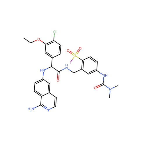 CCOc1cc(C(Nc2ccc3c(N)nccc3c2)C(=O)NCc2cc(NC(=O)N(C)C)ccc2S(=O)(=O)I)ccc1Cl